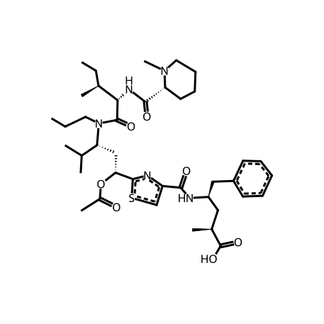 CCCN(C(=O)[C@@H](NC(=O)[C@H]1CCCCN1C)[C@@H](C)CC)[C@H](C[C@@H](OC(C)=O)c1nc(C(=O)N[C@@H](Cc2ccccc2)C[C@H](C)C(=O)O)cs1)C(C)C